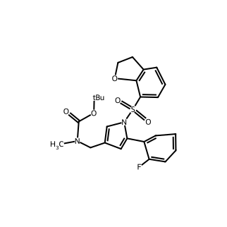 CN(Cc1cc(-c2ccccc2F)n(S(=O)(=O)c2cccc3c2OCC3)c1)C(=O)OC(C)(C)C